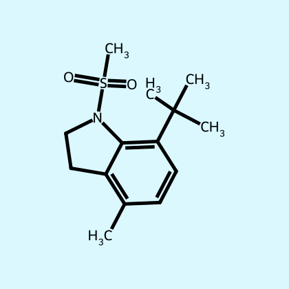 Cc1ccc(C(C)(C)C)c2c1CCN2S(C)(=O)=O